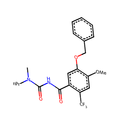 CCCN(C)C(=O)NC(=O)c1cc(OCc2ccccc2)c(OC)cc1C(F)(F)F